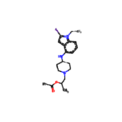 CC(CN1CCC(Nc2cccc3c2cc(I)n3CC(F)(F)F)CC1)OC(=O)C(C)C